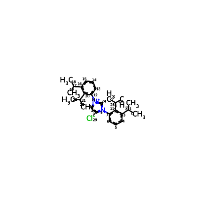 CC(C)c1cccc(-n2cc[n+](-c3cccc(C(C)C)c3C(C)C)c2)c1C(C)C.[Cl-]